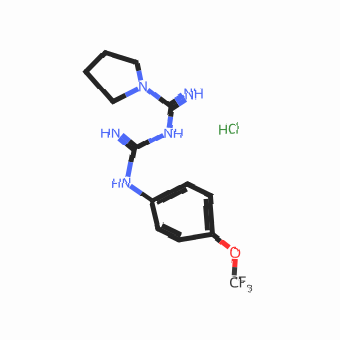 Cl.N=C(NC(=N)N1CCCC1)Nc1ccc(OC(F)(F)F)cc1